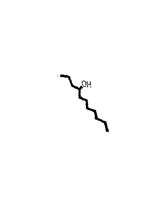 [CH2]CCC(O)CCCCCCC